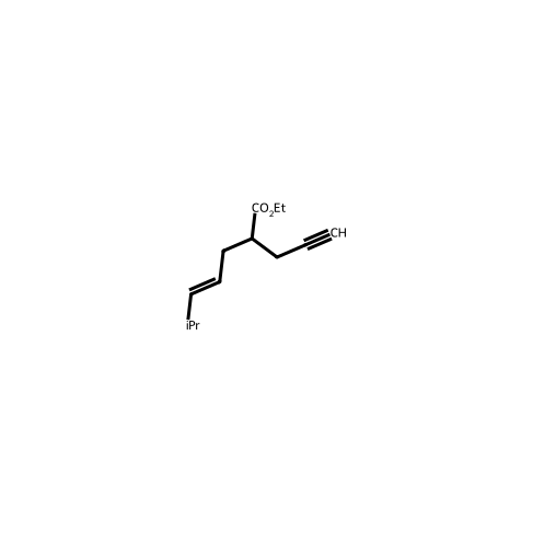 C#CCC(C/C=C/C(C)C)C(=O)OCC